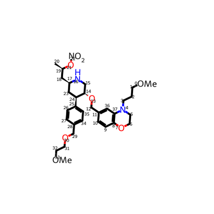 COCCCN1CCOc2ccc(CO[C@H]3CN[C@H](C[C@@H](C)O[N+](=O)[O-])C[C@@H]3c3ccc(COCCOC)cc3)cc21